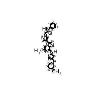 Cc1cn2c(-c3cnn(CC(=O)Nc4ccccc4)c3)cnc2c(NC2CC(CN3CCCC(C)C3)=NS2)n1